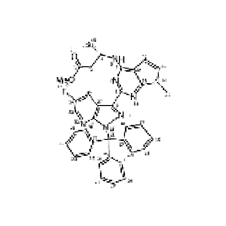 COC(=O)C[C@@H](Nc1nc(-c2nn(C(c3ccccc3)(c3ccccc3)c3ccccc3)c3ncc(F)cc23)nc2c1ccn2C)C(C)(C)C